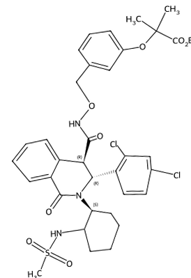 CCOC(=O)C(C)(C)Oc1cccc(CONC(=O)[C@@H]2c3ccccc3C(=O)N([C@H]3CCCCC3NS(C)(=O)=O)[C@H]2c2ccc(Cl)cc2Cl)c1